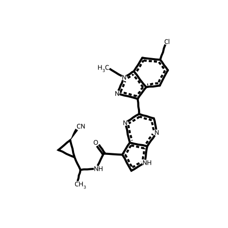 CC(NC(=O)c1c[nH]c2ncc(-c3nn(C)c4cc(Cl)ccc34)nc12)C1C[C@H]1C#N